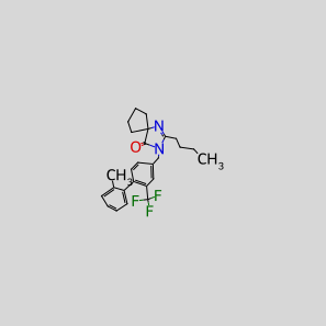 CCCCC1=NC2(CCCC2)C(=O)N1Cc1ccc(-c2ccccc2C)c(C(F)(F)F)c1